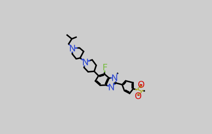 CC(C)CN1CCC(N2CCC(c3ccc4nc(-c5ccc(S(C)(=O)=O)cc5)n(C)c4c3F)CC2)CC1